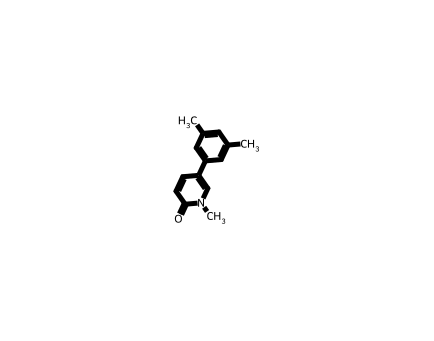 Cc1cc(C)cc(-c2ccc(=O)n(C)c2)c1